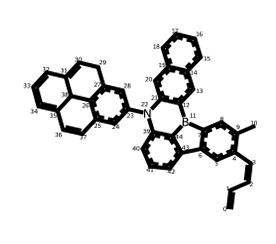 C=C/C=C\c1cc2c(cc1C)B1c3cc4ccccc4cc3N(c3cc4c5c(c3)CC=C3C=C=C=C(C=C4)C35)c3cccc-2c31